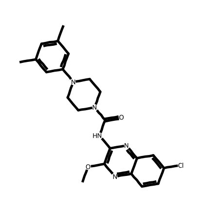 COc1nc2ccc(Cl)cc2nc1NC(=O)N1CCN(c2cc(C)cc(C)c2)CC1